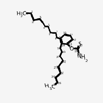 CCCCCCCCCc1cccc(OC(N)=S)c1CCCCCCCCC